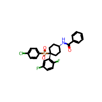 O=C(N[C@H]1CC[C@@](c2cc(F)ccc2F)(S(=O)(=O)c2ccc(Cl)cc2)CC1)c1ccccc1